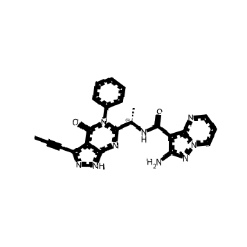 CC#Cc1n[nH]c2nc([C@H](C)NC(=O)c3c(N)nn4cccnc34)n(-c3ccccc3)c(=O)c12